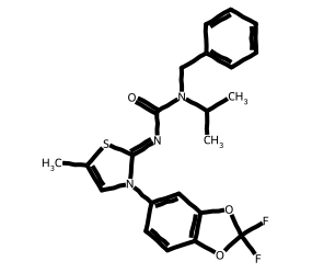 Cc1cn(-c2ccc3c(c2)OC(F)(F)O3)c(=NC(=O)N(Cc2ccccc2)C(C)C)s1